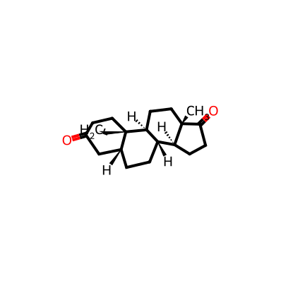 C=C[C@]12CCC(=O)C[C@H]1CC[C@@H]1[C@@H]2CC[C@]2(C)C(=O)CC[C@@H]12